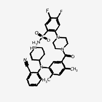 Cc1cc(C)c(N(c2ccccc2C#N)C2CCNCC2)cc1C(=O)N1CCN(c2cc(F)c(F)cc2S(N)(=O)=O)CC1